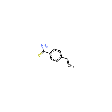 C=Cc1ccc(C(N)=S)cc1